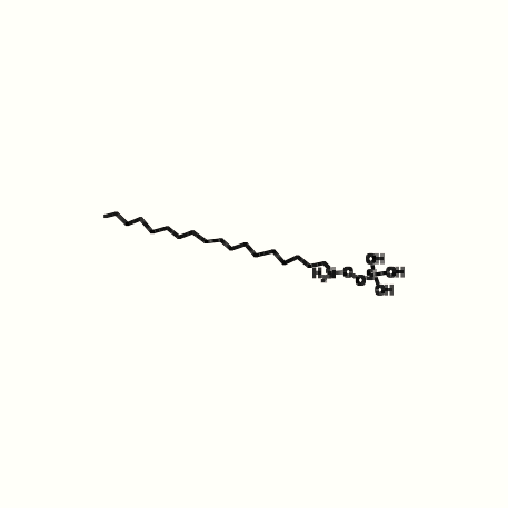 CCCCCCCCCCCCCCCCCC[SiH2]OO[Si](O)(O)O